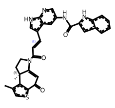 Cc1csc2c1[C@@]1(C)CCN(C(=O)/C=C/c3c[nH]c4ncc(NC(=O)c5cc6ccccc6[nH]5)cc34)C1=CC2=O